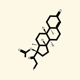 CC(=O)O[C@]1(C(=O)CI)CC[C@H]2[C@@H]3CCC4=CC(=O)CC[C@]4(C)[C@H]3CC[C@@]21C